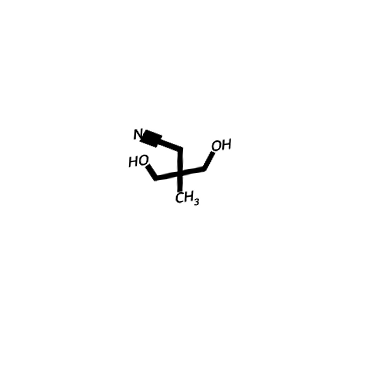 CC(CO)(CO)CC#N